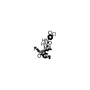 CCN1CCC(C(=O)NCCN(C)C)C(Nc2cc(C)nc(NC(=O)Nc3ccc(Cl)c(Cl)c3)n2)C1